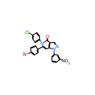 O=c1c2cnn(-c3cccc([N+](=O)[O-])c3)c2cc(-c2ccc(Br)cc2)n1-c1ccc(Cl)cc1